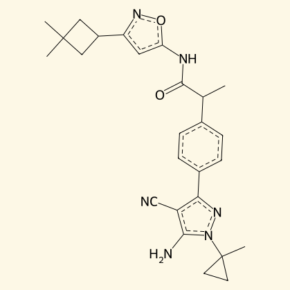 CC(C(=O)Nc1cc(C2CC(C)(C)C2)no1)c1ccc(-c2nn(C3(C)CC3)c(N)c2C#N)cc1